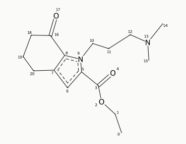 CCOC(=O)c1cc2c(n1CCCN(C)C)C(=O)CCC2